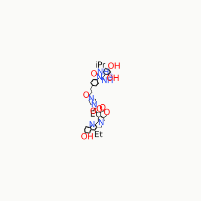 CCc1c2c(nc3ccc(O)cc13)C1=CC3=C(COC(=O)C3(CC)OC(=O)N3CCN(C(=O)CCc4ccc(N(C(=N)c5cc(C(C)C)c(O)cc5O)C(N)=O)cc4)CC3)CN1C2